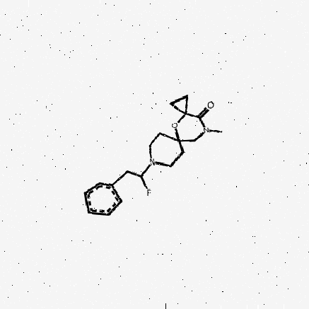 CN1CC2(CCN(C(F)Cc3ccccc3)CC2)OC2(CC2)C1=O